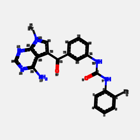 CCc1ccccc1NC(=O)Nc1cccc(C(=O)c2cn(C(C)C)c3ncnc(N)c23)c1